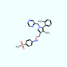 Cc1ccccc1-c1c(C)c(CONc2ccc(S(C)(=O)=O)cc2)cn1Cc1cnccn1